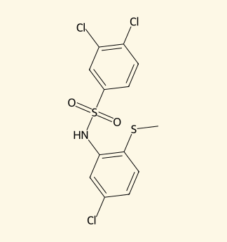 CSc1ccc(Cl)cc1NS(=O)(=O)c1ccc(Cl)c(Cl)c1